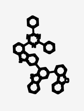 c1ccc(-c2nc(-c3ccccc3)nc(-c3cccc4sc5cc(-c6cc(-c7cccc8oc9ccccc9c78)cc7c6sc6ccccc67)ccc5c34)n2)cc1